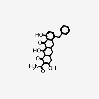 NC(=O)C1=C(O)CC2CC3Cc4c(Cc5ccccc5)ccc(O)c4C(=O)C3=C(O)C2C1=O